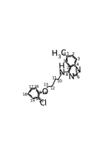 Cc1ccc2ncnc(NCCCCOc3ccccc3Cl)c2c1